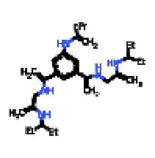 C=C(CCC)Nc1cc(C(=C)NCC(=C)NC(CC)CC)cc(C(=C)NCC(=C)NC(CC)CC)c1